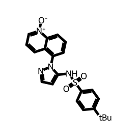 CC(C)(C)c1ccc(S(=O)(=O)Nc2ccnn2-c2cccc3c2ccc[n+]3[O-])cc1